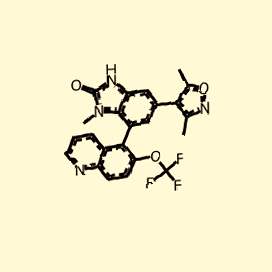 Cc1noc(C)c1-c1cc(-c2c(OC(F)(F)F)ccc3ncccc23)c2c(c1)[nH]c(=O)n2C